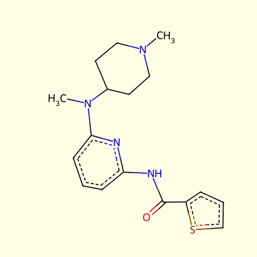 CN1CCC(N(C)c2cccc(NC(=O)c3cccs3)n2)CC1